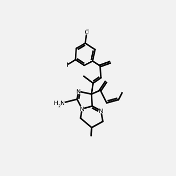 C=C(/C=C(\C)C1(C(=C)/C=C\C)N=C(N)N2CC(C)CN=C21)c1cc(Cl)cc(I)c1